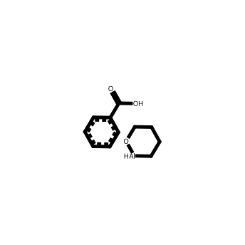 C1C[CH2][AlH][O]C1.O=C(O)c1ccccc1